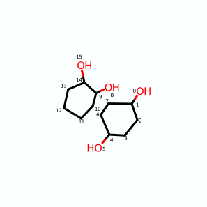 OC1CCC(O)CC1.OC1CCCCC1O